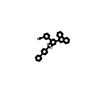 N#Cc1cccc(-c2cc(-c3cc4ccccc4c4ccccc34)cc3oc(-c4ccc(-c5ccccc5)cc4)nc23)c1